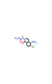 C[C@H](C(N)=O)n1ccc2c(N)c(Cl)ccc2c1=O